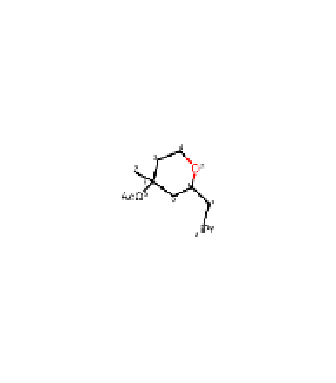 CC(=O)OC1(C)CCOC(CC(C)C)C1